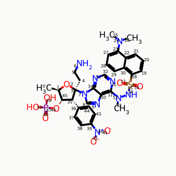 C[C@H]1O[C@@](CCN)(n2cnc3c(N(C)NS(=O)(=O)c4cccc5c(N(C)C)cccc45)ncnc32)[C@H](c2ccc([N+](=O)[O-])cc2)[C@@H]1OP(=O)(O)O